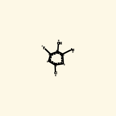 CC(=O)c1cc(Cl)cc(F)c1O